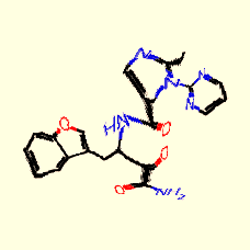 Cc1ncc(C(=O)NC(Cc2coc3ccccc23)C(=O)C(N)=O)n1-c1ncccn1